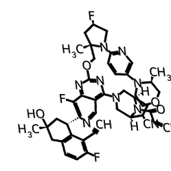 C#Cc1c(F)ccc2c1[C@@H](c1ncc3c(N4C[C@H]5CC(C#N)[C@@H](C4)N5C(=O)C=C)nc(OC[C@]4(C)C[C@@H](F)CN4c4ccc(N5CCOC[C@@H]5C)cn4)nc3c1F)C[C@@](C)(O)C2